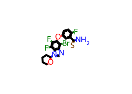 NC(=S)c1cc(Oc2c(F)c(F)c3c(ncn3C3CCCCO3)c2Br)ccc1F